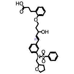 O=C(O)CCc1ccccc1OCCC(O)/C=C/c1cccc(N(CC2CCCO2)S(=O)(=O)c2ccccc2)c1